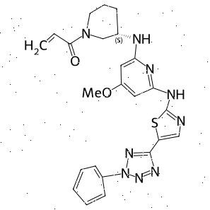 C=CC(=O)N1CCC[C@H](Nc2cc(OC)cc(Nc3ncc(-c4nnn(-c5ccccc5)n4)s3)n2)C1